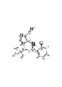 N#Cc1ncn2c(C(F)(F)F)cc(-c3ccccc3Cl)nc12